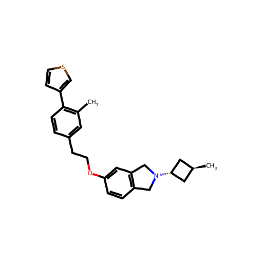 Cc1cc(CCOc2ccc3c(c2)CN([C@H]2C[C@H](C)C2)C3)ccc1-c1ccsc1